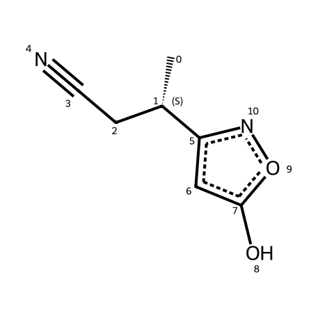 C[C@@H](CC#N)c1cc(O)on1